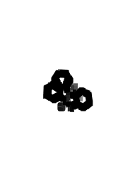 O=P1(c2ccccc2)N=C2CCCC[C@@H]2N1c1ccccc1